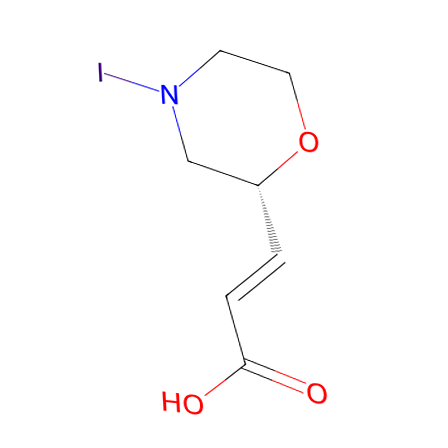 O=C(O)/C=C/[C@@H]1CN(I)CCO1